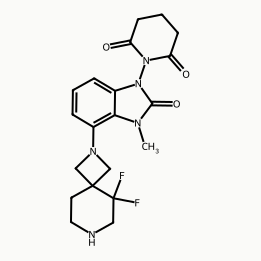 Cn1c(=O)n(N2C(=O)CCCC2=O)c2cccc(N3CC4(CCNCC4(F)F)C3)c21